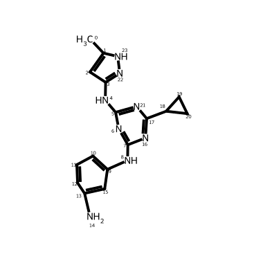 Cc1cc(Nc2nc(Nc3cccc(N)c3)nc(C3CC3)n2)n[nH]1